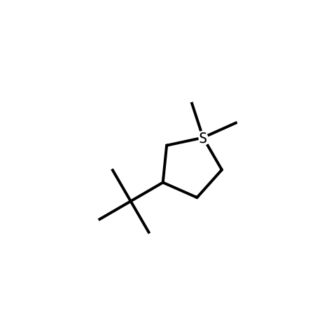 CC(C)(C)C1CCS(C)(C)C1